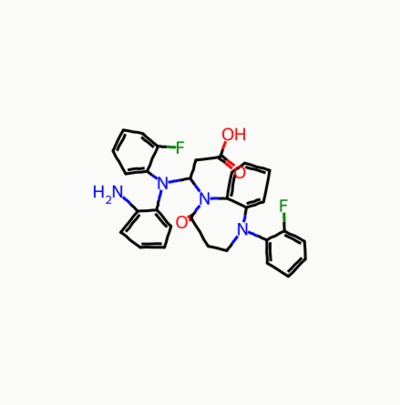 Nc1ccccc1N(c1ccccc1F)C(CC(=O)O)N1C(=O)CCN(c2ccccc2F)c2ccccc21